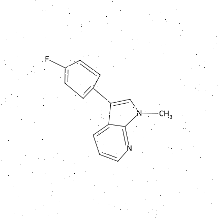 Cn1cc(-c2ccc(F)cc2)c2cccnc21